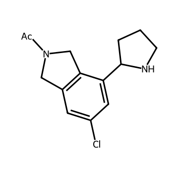 CC(=O)N1Cc2cc(Cl)cc(C3CCCN3)c2C1